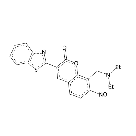 CCN(CC)Cc1c(N=O)ccc2cc(-c3nc4ccccc4s3)c(=O)oc12